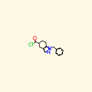 O=C(Cl)C1CCc2c(cnn2Cc2ccccc2)C1